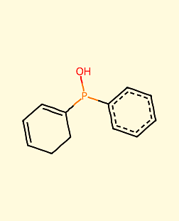 OP(C1=CC=CCC1)c1ccccc1